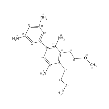 COCCc1c(N)cc(-c2cc(N)cc(N)c2)c(N)c1CCOC